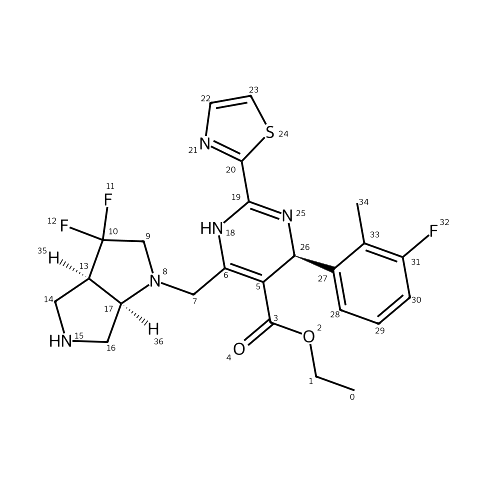 CCOC(=O)C1=C(CN2CC(F)(F)[C@@H]3CNC[C@@H]32)NC(c2nccs2)=N[C@H]1c1cccc(F)c1C